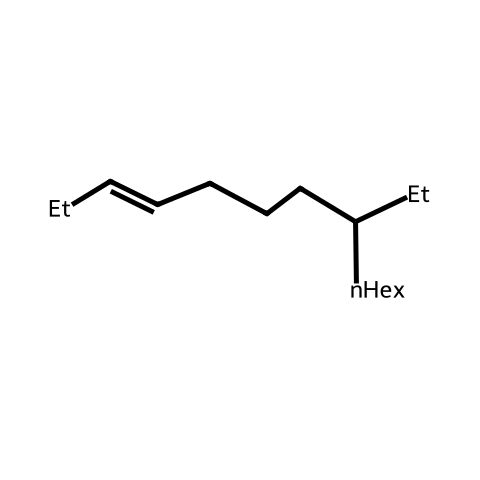 [CH2]CC=CCCCC(CC)CCCCC[CH2]